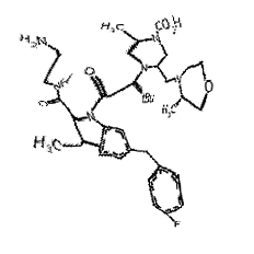 CC1c2ccc(Cc3ccc(F)cc3)cc2N(C(=O)C(N2CC(C)N(C(=O)O)CC2CN2CCOC[C@H]2C)C(C)(C)C)C1C(=O)NCCN